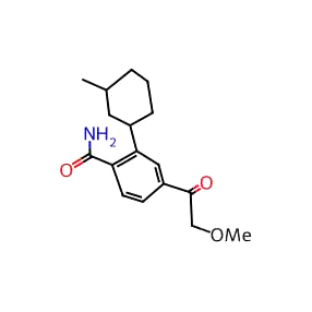 COCC(=O)c1ccc(C(N)=O)c(C2CCCC(C)C2)c1